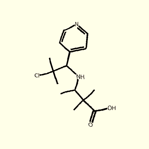 CC(NC(c1ccncc1)C(C)(C)Cl)C(C)(C)C(=O)O